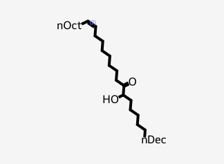 CCCCCCCC/C=C\CCCCCCCC(=O)C(O)CCCCCCCCCCCCCCC